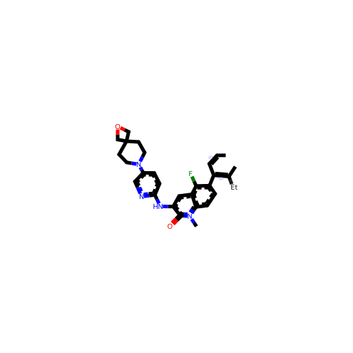 C/C=C\C(=C(/C)CC)c1ccc2c(cc(Nc3ccc(N4CCC5(CC4)COC5)cn3)c(=O)n2C)c1F